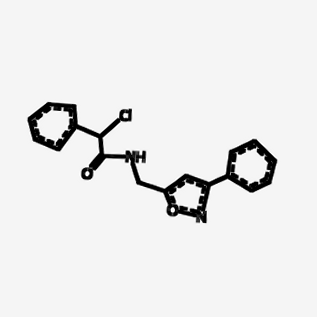 O=C(NCc1cc(-c2ccccc2)no1)C(Cl)c1ccccc1